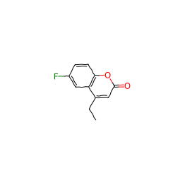 CCc1cc(=O)oc2ccc(F)cc12